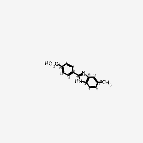 Cc1ccc2[nH]c(-c3ccc(C(=O)O)cc3)nc2c1